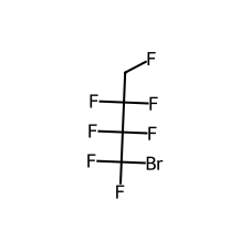 FCC(F)(F)C(F)(F)C(F)(F)Br